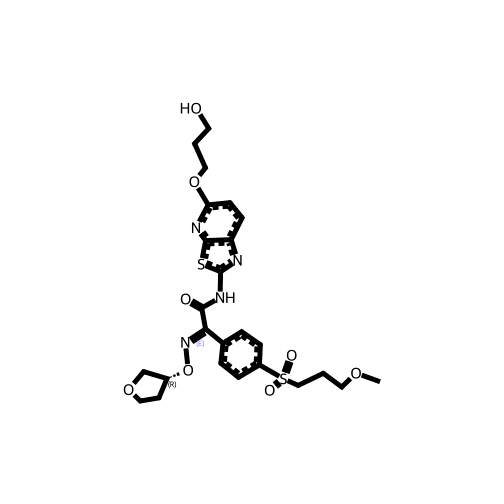 COCCCS(=O)(=O)c1ccc(/C(=N\O[C@@H]2CCOC2)C(=O)Nc2nc3ccc(OCCCO)nc3s2)cc1